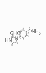 NCc1ccc(N2C=CNC2C=O)cc1